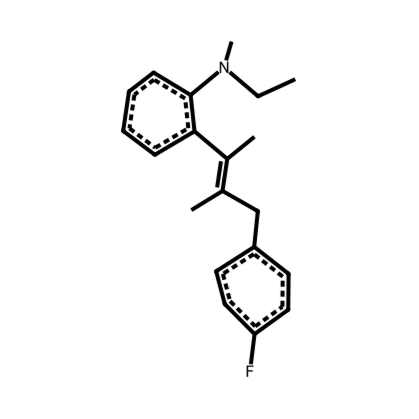 CCN(C)c1ccccc1/C(C)=C(\C)Cc1ccc(F)cc1